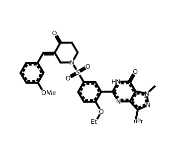 CCCc1nn(C)c2c(=O)[nH]c(-c3cc(S(=O)(=O)N4CCC(=O)C(=Cc5cccc(OC)c5)C4)ccc3OCC)nc12